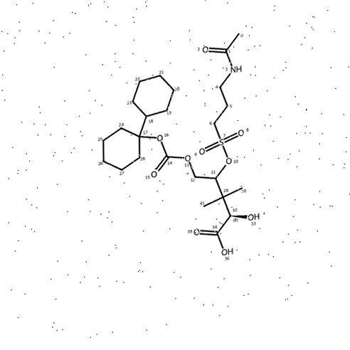 CC(=O)NCCCS(=O)(=O)OC(COC(=O)OC1(C2CCCCC2)CCCCC1)C(C)(C)[C@@H](O)C(=O)O